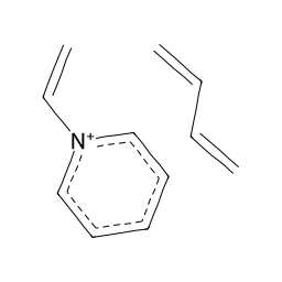 C=CC=C.C=C[n+]1ccccc1